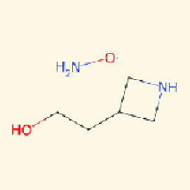 N[O].OCCC1CNC1